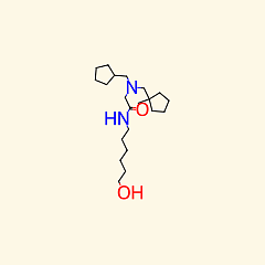 CC1(CN(CC(=O)NCCCCCCO)CC2CCCC2)CCCC1